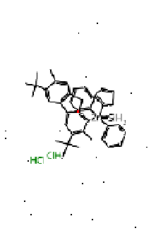 Cc1cc2c(cc1C(C)(C)C)-c1cc(C(C)(C)C)c(C)[c]([Zr](=[SiH2])([C]3=CC=CC3)([c]3ccccc3)[c]3ccccc3)c1C2.Cl.Cl